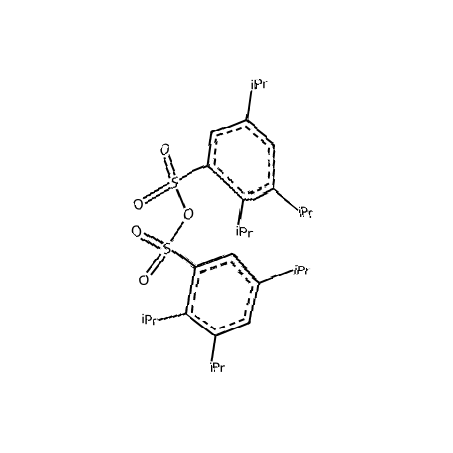 CC(C)c1cc(C(C)C)c(C(C)C)c(S(=O)(=O)OS(=O)(=O)c2cc(C(C)C)cc(C(C)C)c2C(C)C)c1